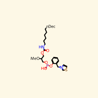 CCCCCCCCCCCCCCCCNC(=O)OCC(COP(O)Oc1ccccc1C[n+]1ccsc1)OC